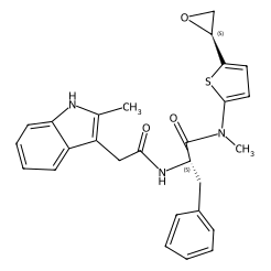 Cc1[nH]c2ccccc2c1CC(=O)N[C@@H](Cc1ccccc1)C(=O)N(C)c1ccc([C@@H]2CO2)s1